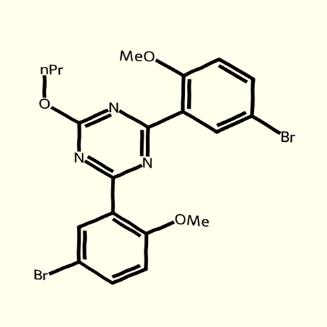 CCCOc1nc(-c2cc(Br)ccc2OC)nc(-c2cc(Br)ccc2OC)n1